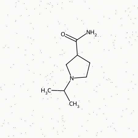 CC(C)N1CCC(C(N)=O)C1